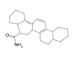 NC(=O)C1CC2C(=C3CCCCC31)C=CC1=C2CCC2CCCCC12